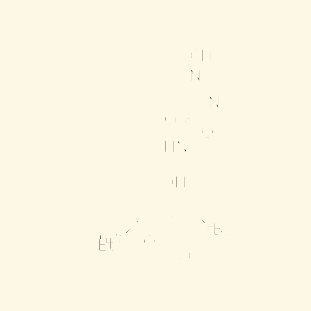 CCC[C@@]1(c2ccccc2CC)CC(O)=C([C@@H](c2cccc(NS(=O)(=O)c3cn(C)cn3)c2)C(C)(C)C)C(=O)O1